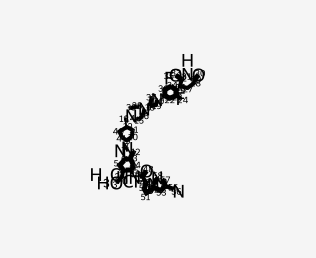 CC(C)(O)c1cc2nn([C@H]3CC[C@H](CN4CCN(C5CN(c6cc(F)c([C@H]7CCC(=O)NC7=O)c(F)c6)C5)CC4)CC3)cc2cc1NC(=O)c1ccc2cc(C#N)cnn12